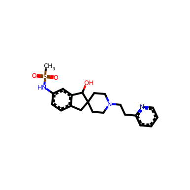 CS(=O)(=O)Nc1ccc2c(c1)C(O)C1(CCN(CCc3ccccn3)CC1)C2